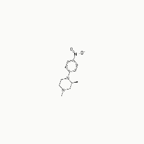 C[C@H]1CN(C)CCN1c1ccc([N+](=O)[O-])cc1